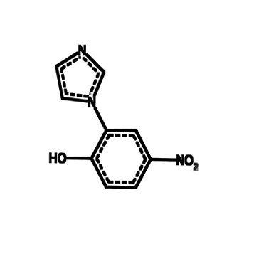 O=[N+]([O-])c1ccc(O)c(-n2ccnc2)c1